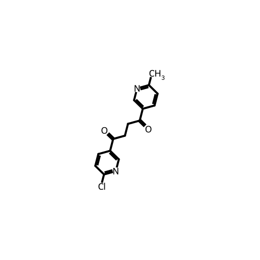 Cc1ccc(C(=O)CCC(=O)c2ccc(Cl)nc2)cn1